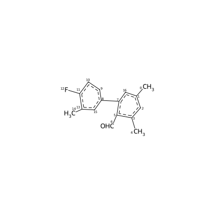 Cc1cc(C)c(C=O)c(-c2ccc(F)c(C)c2)c1